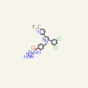 O=C(Nc1nn[nH]n1)c1ccc(Cn2nc(-c3ccc(C(F)(F)F)nc3)cc2-c2cc(Cl)cc(Cl)c2)cc1